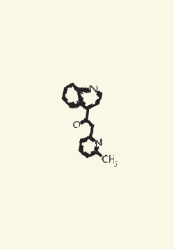 Cc1cccc(CC(=O)c2ccnc3ccccc23)n1